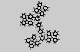 c1ccc([Si](c2ccccc2)(c2ccccc2)c2cccc(-c3cc(-c4cccc([Si](c5ccccc5)(c5ccccc5)c5ccccc5)c4)nc(-c4ccc(-c5ccc(-c6nc(-c7cccc([Si](c8ccccc8)(c8ccccc8)c8ccccc8)c7)nc(-c7cccc([Si](c8ccccc8)(c8ccccc8)c8ccccc8)c7)n6)cc5)cc4)n3)c2)cc1